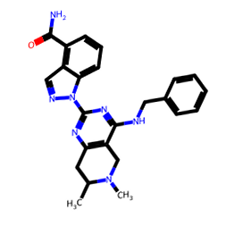 CC1Cc2nc(-n3ncc4c(C(N)=O)cccc43)nc(NCc3ccccc3)c2CN1C